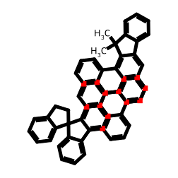 CC1(C)c2ccccc2-c2cccc(-c3ccccc3N(c3ccc4c(c3)C3(CCc5ccccc53)c3ccccc3-4)c3ccccc3-c3ccccc3-c3ccccc3-c3ccccc3)c21